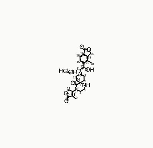 CC1=C(N2CCNC3(CCN(C[C@H](O)c4ccc5c(c4C)COC5=O)CC3)C2=O)COC1=O.Cl.Cl